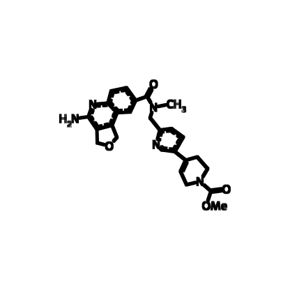 COC(=O)N1CC=C(c2ccc(CN(C)C(=O)c3ccc4nc(N)c5c(c4c3)COC5)nc2)CC1